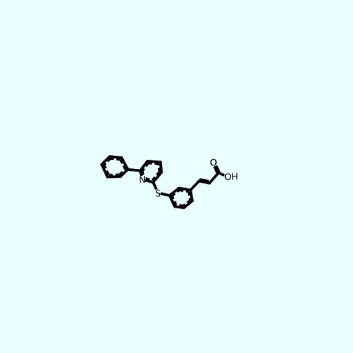 O=C(O)C=Cc1cccc(Sc2cccc(-c3ccccc3)n2)c1